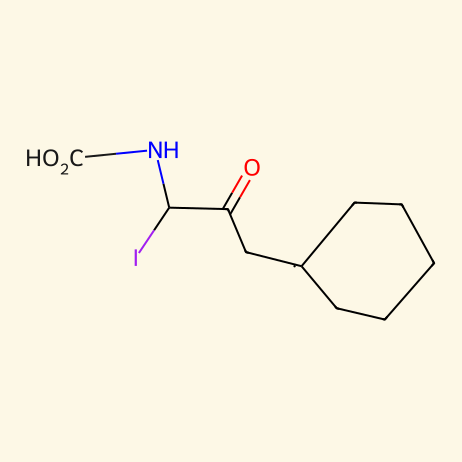 O=C(O)NC(I)C(=O)C[C]1CCCCC1